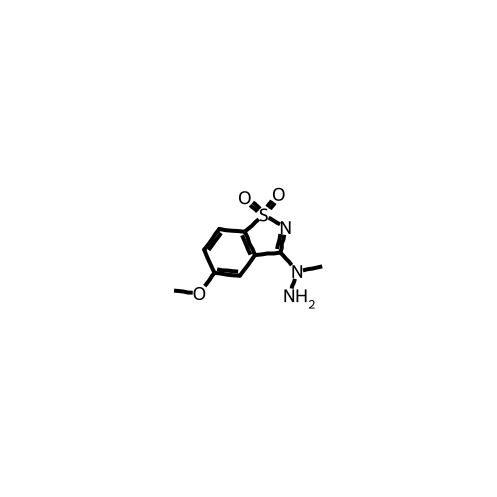 COc1ccc2c(c1)C(N(C)N)=NS2(=O)=O